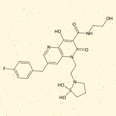 O=C(NCCO)c1c(O)c2ncc(Cc3ccc(F)cc3)cc2n(CCN2CCCS2(O)O)c1=O